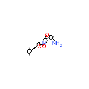 Cc1ccc(C)c(C#Cc2ccc(C(=O)N3CCC4(CC3)COc3ccc(CN)cc34)o2)c1